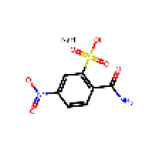 NC(=O)c1ccc([N+](=O)[O-])cc1S(=O)(=O)O.[NaH]